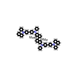 COc1ccc2cc(N(c3ccccc3)c3ccc(-c4ccc(N(c5ccccc5)c5cccc6ccccc56)cc4)cc3)ccc2c1-c1c(OC)ccc2cc(N(c3ccccc3)c3ccc(-c4ccc(N(c5ccccc5)c5cccc6ccccc56)cc4)cc3)ccc12